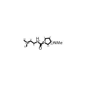 CN[C@H]1CCN(C(=O)NCCN(C)C)C1